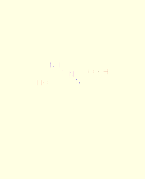 NC(O)c1cc(-c2cccs2)n(CC(=O)O)n1